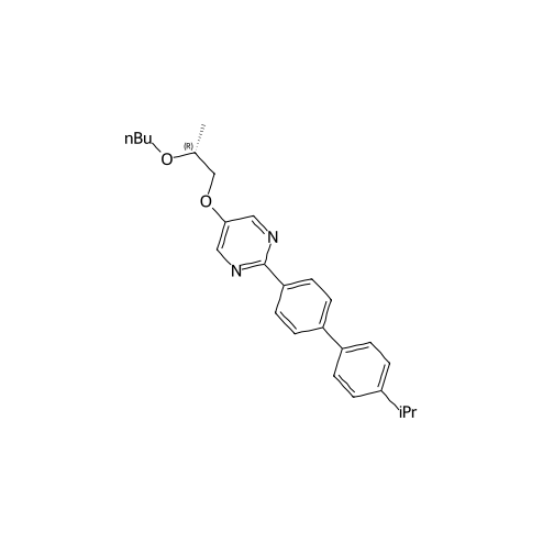 CCCCO[C@H](C)COc1cnc(-c2ccc(-c3ccc(C(C)C)cc3)cc2)nc1